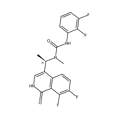 C[C@H](c1c[nH]c(=O)c2c(F)c(F)ccc12)N(C)C(=O)Nc1cccc(F)c1F